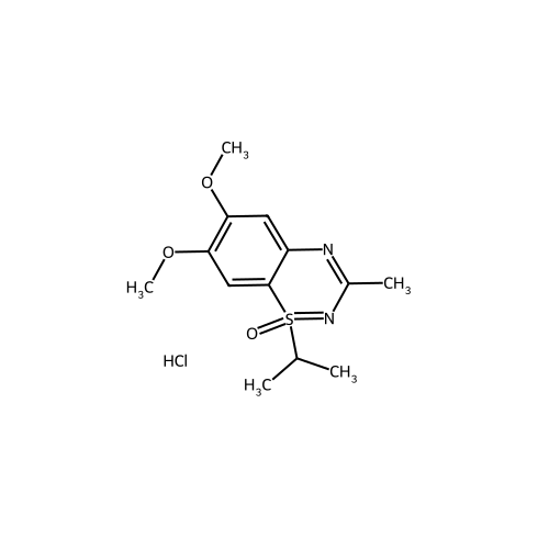 COc1cc2c(cc1OC)S(=O)(C(C)C)=NC(C)=N2.Cl